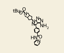 CC(C)(C)OC(=O)N1CC2CC(n3nc(-c4ccc(C(=O)Nc5ccccn5)cc4)c4c(N)ncnc43)CC2C1